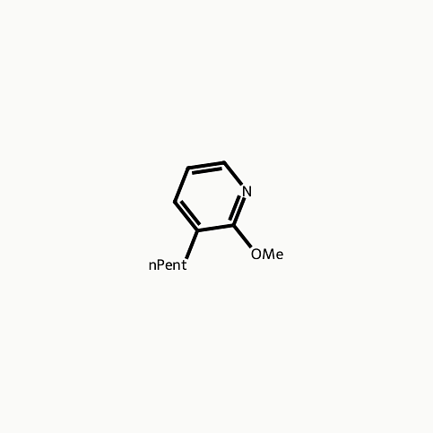 CCCCCc1cccnc1OC